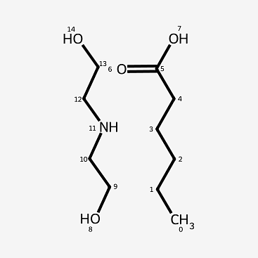 CCCCCC(=O)O.OCCNCCO